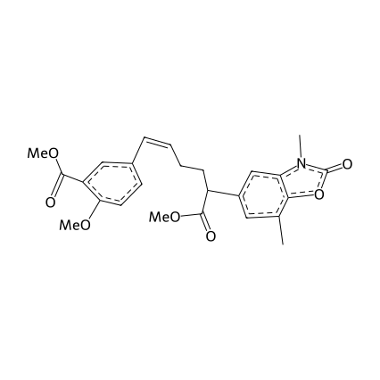 COC(=O)c1cc(/C=C\CCC(C(=O)OC)c2cc(C)c3oc(=O)n(C)c3c2)ccc1OC